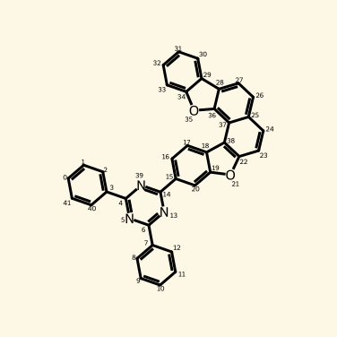 c1ccc(-c2nc(-c3ccccc3)nc(-c3ccc4c(c3)oc3ccc5ccc6c7ccccc7oc6c5c34)n2)cc1